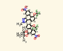 CC1(C)OB(c2cc([N+](=O)[O-])ccc2-c2ccccc2OC(F)(F)F)OC1(C)C.Cn1cc(-c2cccc(OC(F)(F)F)c2-c2ccc([N+](=O)[O-])cc2)cn1